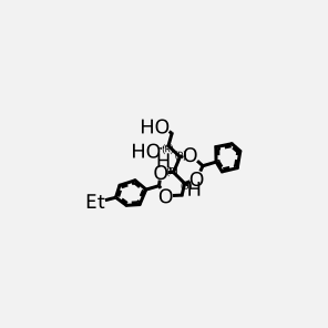 CCc1ccc(C2OC[C@@H]3OC(c4ccccc4)O[C@H]([C@H](O)CO)[C@@H]3O2)cc1